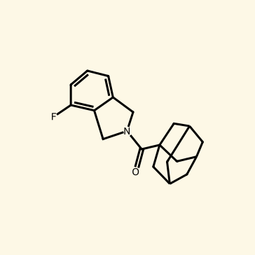 O=C(N1Cc2cccc(F)c2C1)C12CC3CC(CC(C3)C1)C2